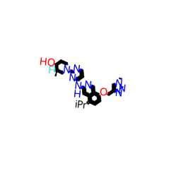 CC(C)c1ccc(OCc2cn(C)nn2)c2cnc(Nc3ccnc(N4CC[C@@H](O)[C@@](C)(F)C4)n3)cc12